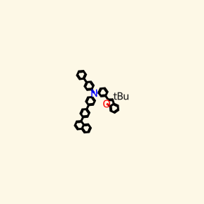 CC(C)(C)c1c(-c2cccc(N(c3ccc(-c4ccccc4)cc3)c3ccc(-c4ccc(-c5cccc6ccccc56)cc4)cc3)c2)oc2ccccc12